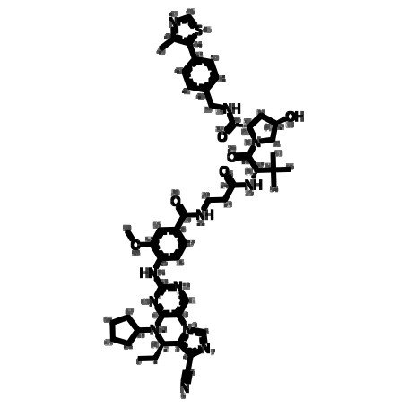 CC[C@@H]1c2c(C#N)ncn2-c2cnc(Nc3ccc(C(=O)NCCC(=O)N[C@H](C(=O)N4C[C@H](O)C[C@H]4C(=O)NCc4ccc(-c5scnc5C)cc4)C(C)(C)C)cc3OC)nc2N1C1CCCC1